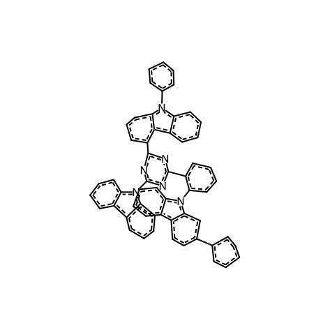 c1ccc(-c2ccc3c4ccccc4n(-c4ccccc4-c4nc(-c5cccc6c5c5ccccc5n6-c5ccccc5)nc(-n5c6ccccc6c6ccccc65)n4)c3c2)cc1